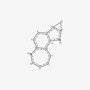 c1ccc2c(ccc3c4c(nc32)C4)nc1